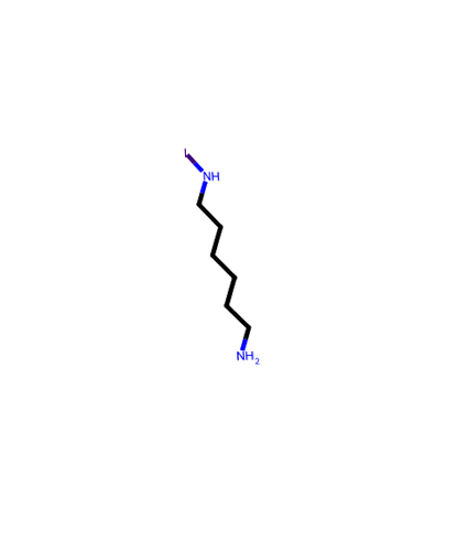 NCCCCCCNI